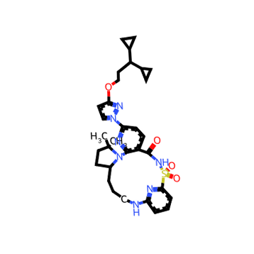 CC1(C)CCC2CCCNc3cccc(n3)S(=O)(=O)NC(=O)c3ccc(-n4ccc(OCCC(C5CC5)C5CC5)n4)nc3N21